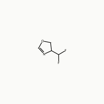 FC(F)C1[CH]O[C]=N1